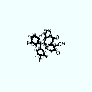 O=C1c2c(O)c(=O)cnn2[C@@H](C(c2cccc(F)c2)c2ccc(F)c(F)c2)[C@H]2CCCN12